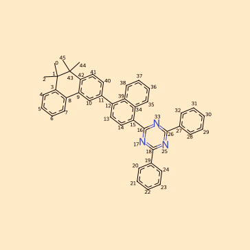 CC1(C)c2ccccc2-c2cc(-c3ccc(-c4nc(-c5ccccc5)nc(-c5ccccc5)n4)c4ccccc34)ccc2C1(C)C